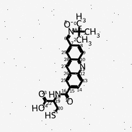 CC(C)(C)/[N+]([O-])=C\c1ccc2nc3ccc(C(=O)NC(CS)C(=O)O)cc3cc2c1